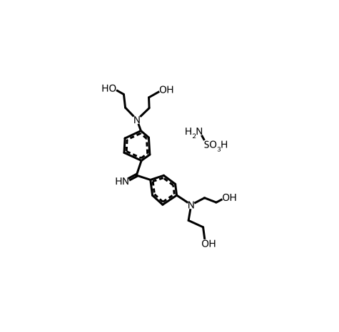 N=C(c1ccc(N(CCO)CCO)cc1)c1ccc(N(CCO)CCO)cc1.NS(=O)(=O)O